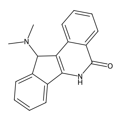 CN(C)C1c2ccccc2-c2[nH]c(=O)c3ccccc3c21